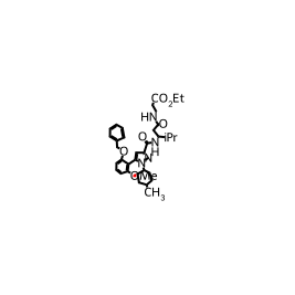 CCOC(=O)CCNC(=O)CC(NC(=O)c1cc(-c2c(OC)cccc2OCc2ccccc2)n(C2CCC(C)CC2)n1)C(C)C